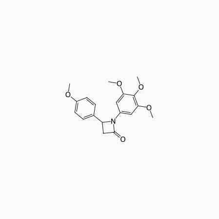 COc1ccc(C2CC(=O)N2c2cc(OC)c(OC)c(OC)c2)cc1